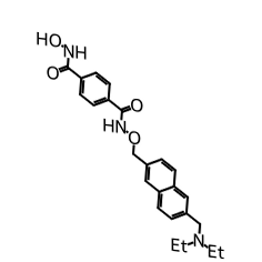 CCN(CC)Cc1ccc2cc(CONC(=O)c3ccc(C(=O)NO)cc3)ccc2c1